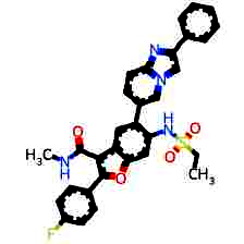 CCS(=O)(=O)Nc1cc2oc(-c3ccc(F)cc3)c(C(=O)NC)c2cc1-c1ccc2nc(-c3ccccc3)cn2c1